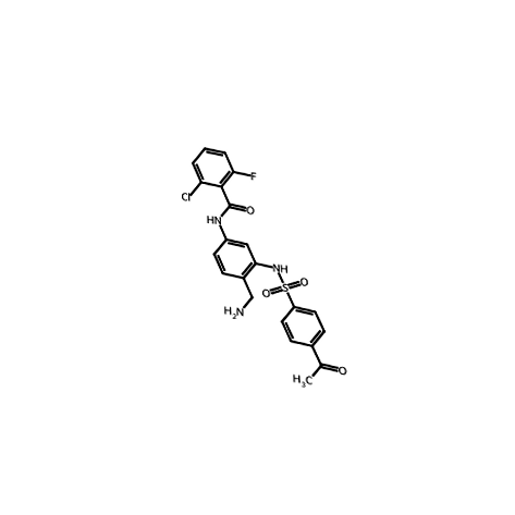 CC(=O)c1ccc(S(=O)(=O)Nc2cc(NC(=O)c3c(F)cccc3Cl)ccc2CN)cc1